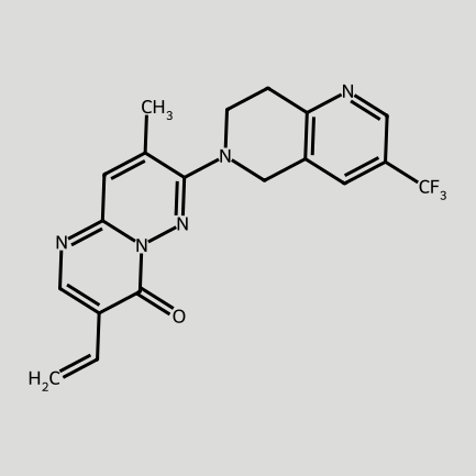 C=Cc1cnc2cc(C)c(N3CCc4ncc(C(F)(F)F)cc4C3)nn2c1=O